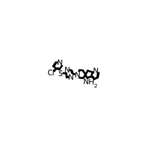 N[C@@H]1c2cccnc2CC12CCN(c1cnc(Sc3cnccc3Cl)cn1)CC2